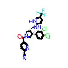 N#Cc1ccc(C(=O)N2C[C@H](CNC3C=CC(C(F)(F)F)=CN3)[C@@H](c3ccc(Cl)c(Cl)c3)C2)cn1